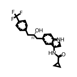 O=C(Nc1c[nH]c2ccc(C[C@@H](O)Cc3ccc(C(F)(F)F)cc3)cc12)C1CC1